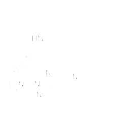 C=CNC(C)CCc1nc2c(-c3ccc(-c4ccccc4)nc3)cnn2c(N)c1S(C)(=O)=O